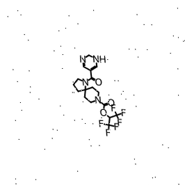 O=C(OC(C(F)(F)F)C(F)(F)F)N1CCC2(CCCN2C(=O)C2=CNCN=C2)CC1